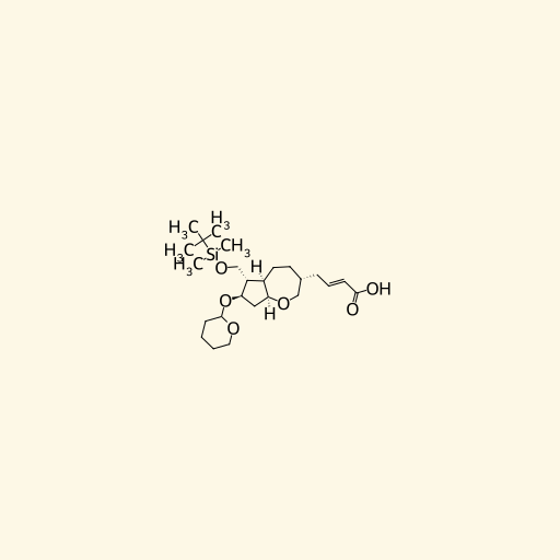 CC(C)(C)[Si](C)(C)OC[C@@H]1[C@H]2CC[C@H](C/C=C/C(=O)O)CO[C@H]2C[C@H]1OC1CCCCO1